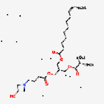 CCCCCCCC/C=C\CCCCCCCC(=O)OCC(COC(=O)CCCN1CC(O)C1)COC(=O)C(CCCCCC)CCCCCCCC